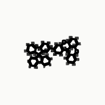 c1ccc(C2(c3ccccc3)c3ccccc3-c3ccc(-c4ccc5c(c4)Oc4cccc6c4B5c4ccccc4O6)cc32)cc1